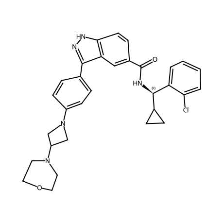 O=C(N[C@@H](c1ccccc1Cl)C1CC1)c1ccc2[nH]nc(-c3ccc(N4CC(N5CCOCC5)C4)cc3)c2c1